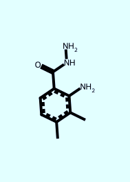 Cc1ccc(C(=O)NN)c(N)c1C